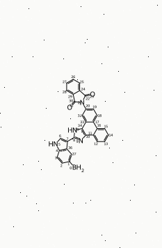 Bc1ccc2[nH]cc(-c3nc4c5ccccc5c5ccc(N6C(=O)c7ccccc7C6=O)cc5c4[nH]3)c2c1